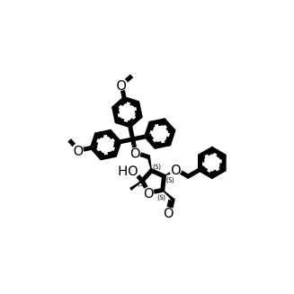 COc1ccc(C(OC[C@H]2[C@H](OCc3ccccc3)[C@@H](C=O)O[C@]2(C)O)(c2ccccc2)c2ccc(OC)cc2)cc1